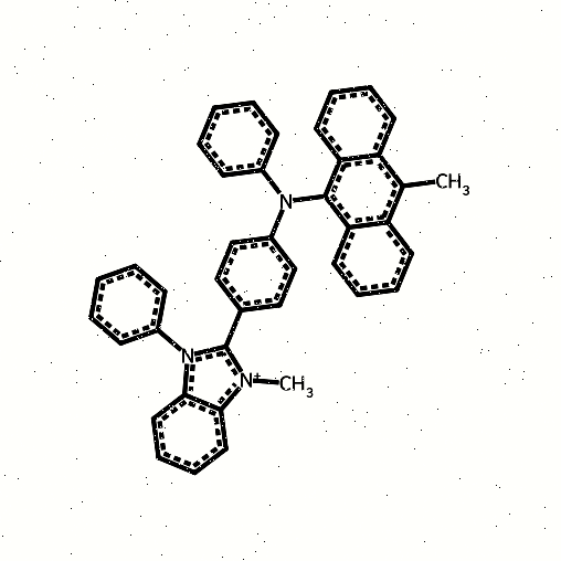 Cc1c2ccccc2c(N(c2ccccc2)c2ccc(-c3n(-c4ccccc4)c4ccccc4[n+]3C)cc2)c2ccccc12